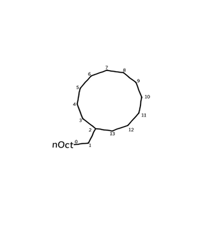 [CH2]CCCCCCCCC1CCCCCCCCCCC1